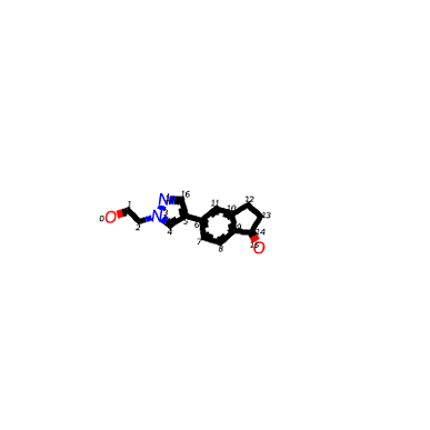 O=CCn1cc(-c2ccc3c(c2)CCC3=O)cn1